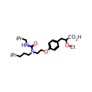 CCOC(Cc1ccc(OCCN(CCCC(C)C)C(=O)NCC(C)C)cc1)C(=O)O